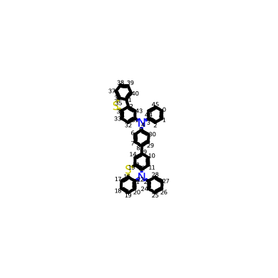 c1ccc(N(c2ccc(-c3ccc4c(c3)Sc3ccccc3N4c3ccccc3)cc2)c2ccc3sc4ccccc4c3c2)cc1